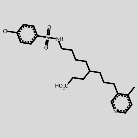 Cc1ccncc1CCCC(CCCCNS(=O)(=O)c1ccc(Cl)cc1)CCC(=O)O